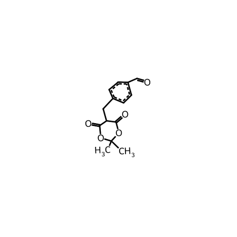 CC1(C)OC(=O)C(Cc2ccc(C=O)cc2)C(=O)O1